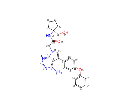 Nc1ncnc2c1c(-c1ccc(Oc3ccccc3)cc1)cn2CC(=O)NC1(CO)CCCC1